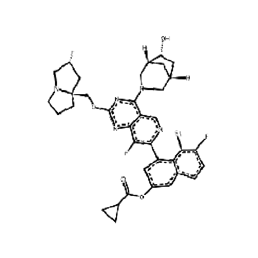 CCc1c(F)ccc2cc(OC(=O)C3CC3)cc(-c3ncc4c(N5C[C@@H]6C[C@H](C5)[C@H](O)C6)nc(OC[C@@]56CCCN5C[C@H](F)C6)nc4c3F)c12